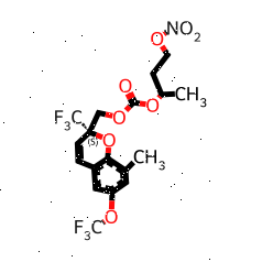 Cc1cc(OC(F)(F)F)cc2c1O[C@@](COC(=O)OC(C)CCO[N+](=O)[O-])(C(F)(F)F)C=C2